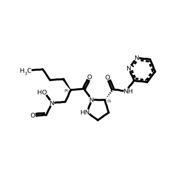 CCCC[C@H](CN(O)C=O)C(=O)N1NCC[C@H]1C(=O)Nc1cccnn1